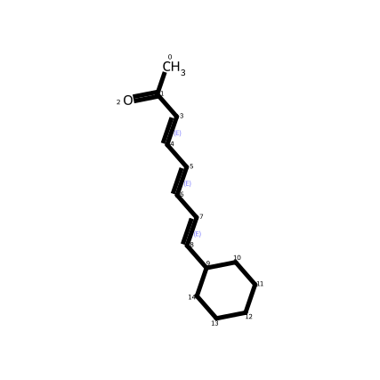 CC(=O)/C=C/C=C/C=C/C1CCCCC1